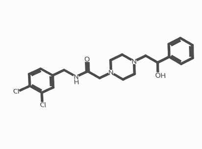 O=C(CN1CCN(CC(O)c2ccccc2)CC1)NCc1ccc(Cl)c(Cl)c1